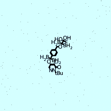 BC(B)(Oc1cnn(C(C)(C)C)c(=O)c1Cl)c1ccc(COC(B)(B)C(O)(O)F)cc1